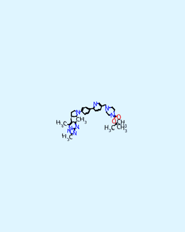 Cc1nc2nc(C)c(C[C@@H]3CCN(c4ccc(-c5ccc(CN6CCN(C(=O)OC(C)(C)C)CC6)cn5)cc4)C3)c(C)n2n1